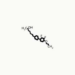 C=CCOc1ccc(-c2ccc(C=CCCCC(C)O)cc2)c(F)c1F